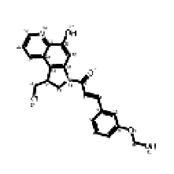 O=C(C=Cc1cccc(OCO)c1)N1CC(CCl)c2c1cc(O)c1ncccc21